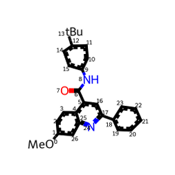 COc1ccc2c(C(=O)Nc3ccc(C(C)(C)C)cc3)cc(-c3ccccc3)nc2c1